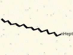 [CH]=CC=CC=CC=CC=CC=CC=CC=CCCCCCCC